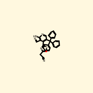 N#CCc1csc(-c2c(C(c3ccccc3)(c3ccccc3)c3ccccc3)cnc3[nH]ncc23)n1